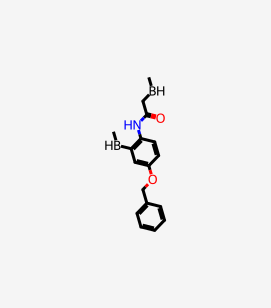 CBCC(=O)Nc1ccc(OCc2ccccc2)cc1BC